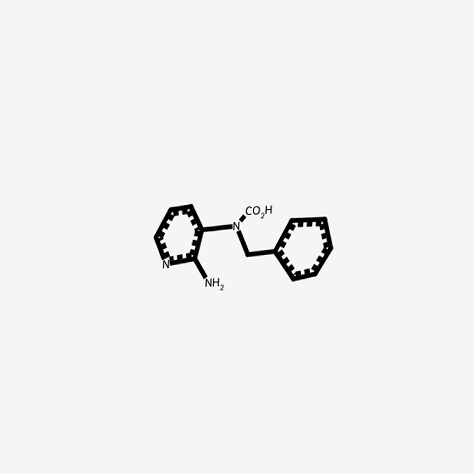 Nc1ncccc1N(Cc1ccccc1)C(=O)O